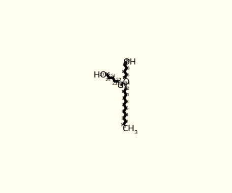 CCCCCCCCCCCCCN(OCCCCCO)OCCCCCO